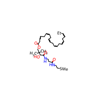 CC/C=C\C/C=C\C/C=C\C/C=C\C/C=C\C/C=C\CC(=O)OCC(C)(C)[C@@H](O)C(=O)NCCC(=O)NCCSC